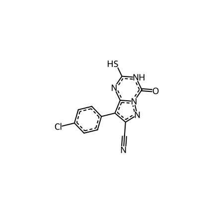 N#Cc1nn2c(=O)[nH]c(S)nc2c1-c1ccc(Cl)cc1